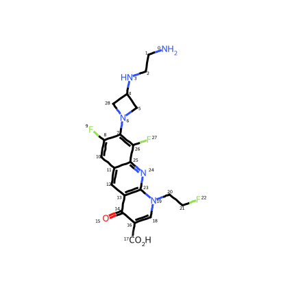 NCCNC1CN(c2c(F)cc3cc4c(=O)c(C(=O)O)cn(CCF)c4nc3c2F)C1